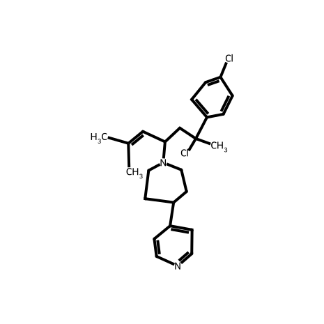 CC(C)=CC(CC(C)(Cl)c1ccc(Cl)cc1)N1CCC(c2ccncc2)CC1